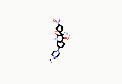 CN1CCN(c2ccc3c(c2)NC(=O)C(C)(c2ccc([N+](=O)[O-])cc2)C3=O)CC1